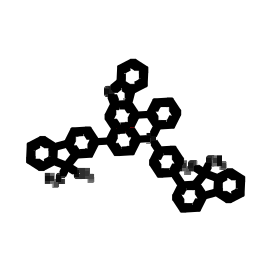 CC1(C)c2ccccc2-c2ccc(-c3ccc(N(c4ccc(-c5cccc6c5C(C)(C)c5ccccc5-6)cc4)c4ccccc4-c4cccc5oc6ccccc6c45)cc3)cc21